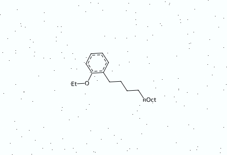 C[CH]Oc1ccccc1CCCCCCCCCCCC